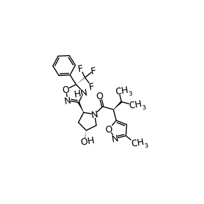 Cc1cc([C@@H](C(=O)N2C[C@H](O)C[C@H]2C2=NO[C@](c3ccccc3)(C(F)(F)F)N2)C(C)C)on1